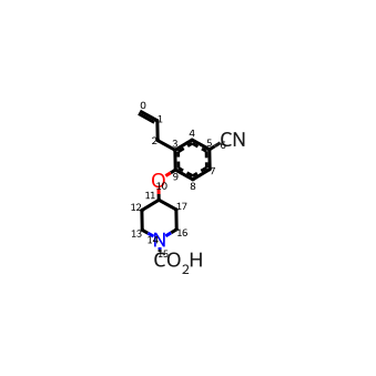 C=CCc1cc(C#N)ccc1OC1CCN(C(=O)O)CC1